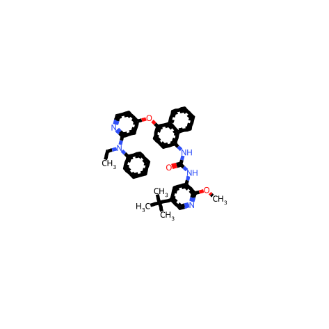 CCN(c1ccccc1)c1cc(Oc2ccc(NC(=O)Nc3cc(C(C)(C)C)cnc3OC)c3ccccc23)ccn1